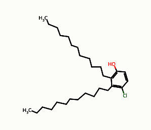 CCCCCCCCCCCCc1c(O)ccc(Cl)c1CCCCCCCCCCCC